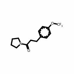 O=C(CCc1ccc(OC(F)(F)F)cc1)N1CCCC1